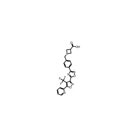 O=C(O)C1CN(Cc2ccc(-c3noc(-c4noc(-c5ccccn5)c4C(F)(F)F)n3)cc2)C1